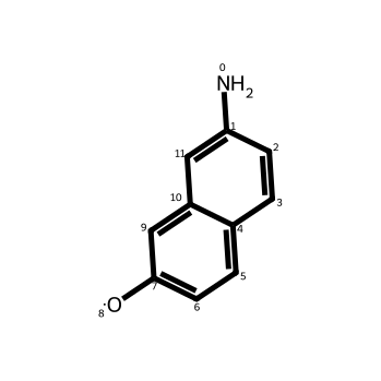 Nc1ccc2ccc([O])cc2c1